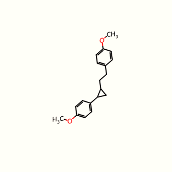 COc1ccc(CCC2CC2c2ccc(OC)cc2)cc1